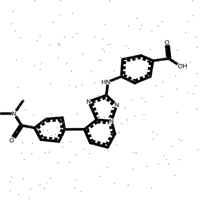 CN(C)C(=O)c1ccc(-c2cccn3nc(Nc4ccc(C(=O)O)cc4)nc23)cc1